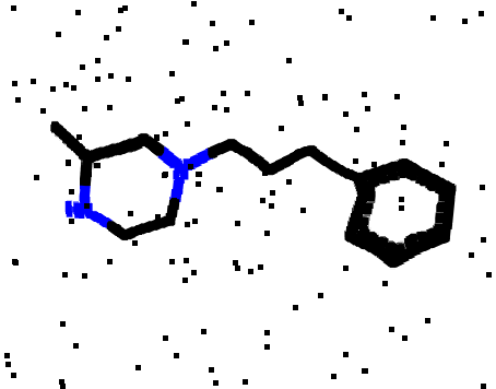 CC1CN(CCCc2ccccc2)CCN1